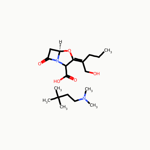 CCCC(CO)=C1O[C@@H]2CC(=O)N2C1C(=O)O.CN(C)CCC(C)(C)C